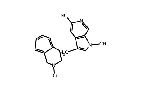 Cc1cn(C)c2cnc(C#N)cc12.[Cu][N]1CCc2ccccc2C1